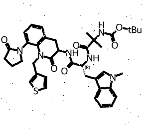 Cn1cc(C[C@@H](NC(=O)C(C)(C)NC(=O)OC(C)(C)C)C(=O)NC2Cc3cccc(N4CCCC4=O)c3N(Cc3ccsc3)C2=O)c2ccccc21